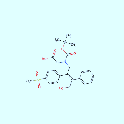 CC(C)(C)OC(=O)N(CC(=O)O)CC(=C(CO)c1ccccc1)c1ccc(S(C)(=O)=O)cc1